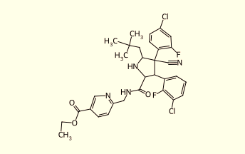 CCOC(=O)c1ccc(CNC(=O)C2NC(CC(C)(C)C)C(C#N)(c3ccc(Cl)cc3F)C2c2cccc(Cl)c2F)nc1